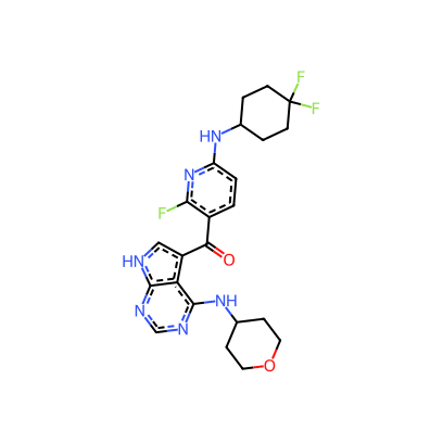 O=C(c1ccc(NC2CCC(F)(F)CC2)nc1F)c1c[nH]c2ncnc(NC3CCOCC3)c12